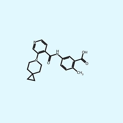 Cc1ccc(NC(=O)c2ccncc2N2CCC3(CC2)CC3)cc1C(=O)O